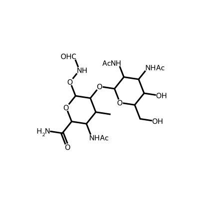 CC(=O)NC1C(C(N)=O)OC(ONC=O)C(OC2OC(CO)C(O)C(NC(C)=O)C2NC(C)=O)C1C